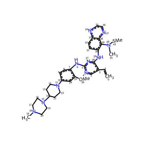 C=Cc1cnc(Nc2ccc(N3CCC(N4CCN(C)CC4)CC3)cc2OC)nc1Nc1ccc2nccnc2c1N(C)SC